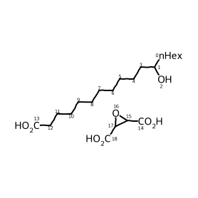 CCCCCCC(O)CCCCCCCCCCC(=O)O.O=C(O)C1OC1C(=O)O